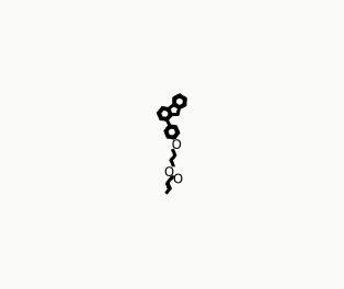 CC=CC(=O)OCCCCOc1ccc(-c2cccc3c2Cc2ccccc2-3)cc1